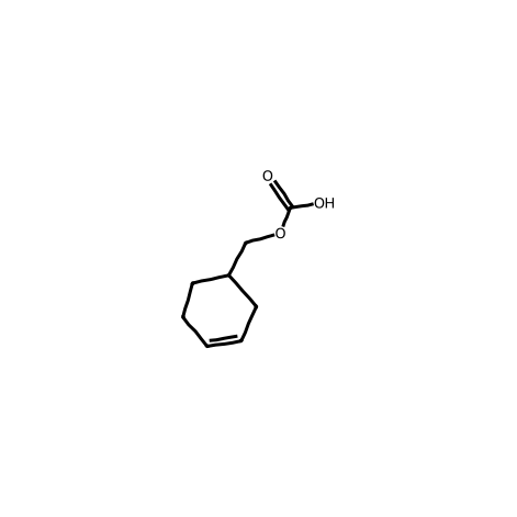 O=C(O)OCC1CC=CCC1